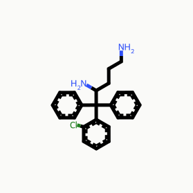 NCCCC(N)C(c1ccccc1)(c1ccccc1)c1ccccc1Cl